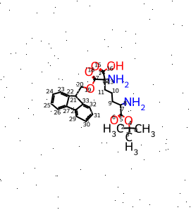 CC(C)(C)OC(=O)C(N)CCC[C@](N)(C(=O)O)C(=O)OCC1c2ccccc2-c2ccccc21